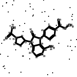 COC(=O)c1ccc(-n2c(=O)n(C3CCN(C(=O)O)C3)c3ncnc(N)c32)cc1